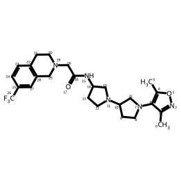 Cc1noc(C)c1N1CCC(N2CCC(NC(=O)CN3CCc4ccc(C(F)(F)F)cc4C3)C2)C1